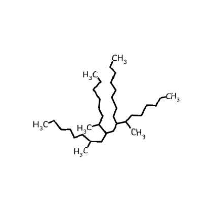 CCCCCCCCC(CC(CC(C)CCCCCC)C(C)CCCCCC)C(C)CCCCCC